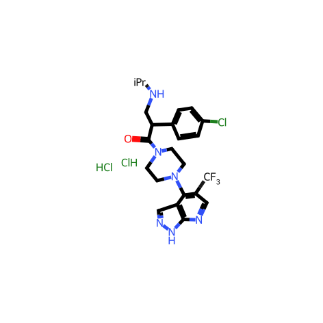 CC(C)NCC(C(=O)N1CCN(c2c(C(F)(F)F)cnc3[nH]ncc23)CC1)c1ccc(Cl)cc1.Cl.Cl